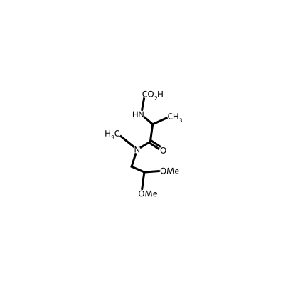 COC(CN(C)C(=O)C(C)NC(=O)O)OC